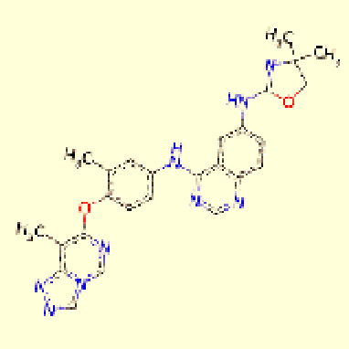 Cc1cc(Nc2ncnc3ccc(NC4=NC(C)(C)CO4)cc23)ccc1Oc1ncn2cnnc2c1C